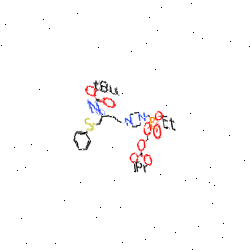 CCOP(=O)(CN1CCN(CC/C(CSc2ccccc2)=N\C(=O)OC(C)(C)C)CC1)OCOC(=O)OC(C)C